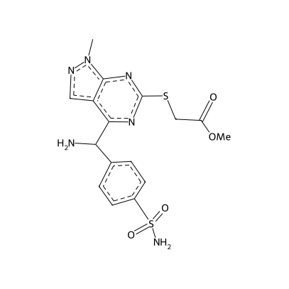 COC(=O)CSc1nc(C(N)c2ccc(S(N)(=O)=O)cc2)c2cnn(C)c2n1